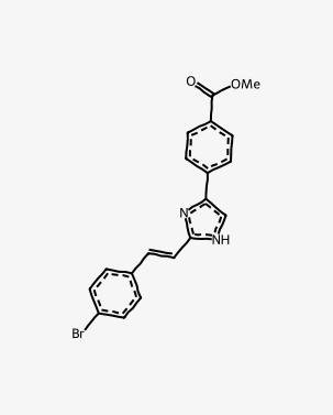 COC(=O)c1ccc(-c2c[nH]c(C=Cc3ccc(Br)cc3)n2)cc1